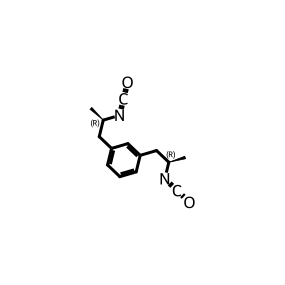 C[C@H](Cc1cccc(C[C@@H](C)N=C=O)c1)N=C=O